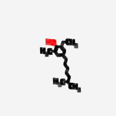 CCc1cc(CCCCCC(C)C)cc(C)c1O